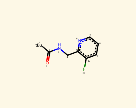 CC(C)(C)C(=O)NCc1ncccc1F